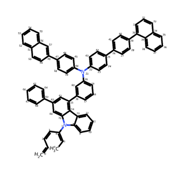 C=C/C=C\C(=C/C)n1c2ccccc2c2c(-c3cccc(N(c4ccc(-c5ccc(-c6cccc7ccccc67)cc5)cc4)c4ccc(-c5ccc6ccccc6c5)cc4)c3)cc(-c3ccccc3)cc21